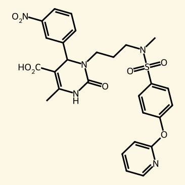 CC1=C(C(=O)O)C(c2cccc([N+](=O)[O-])c2)N(CCCN(C)S(=O)(=O)c2ccc(Oc3ccccn3)cc2)C(=O)N1